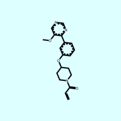 C=CC(=O)N1CCC(Oc2cccc(-c3ncncc3OC)c2)CC1